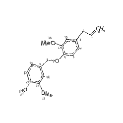 C=CCc1ccc(OCc2ccc(O)c(OC)c2)c(OC)c1